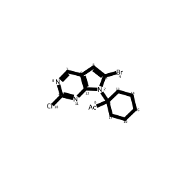 CC(=O)C1(n2c(Br)cc3cnc(Cl)nc32)CCCCC1